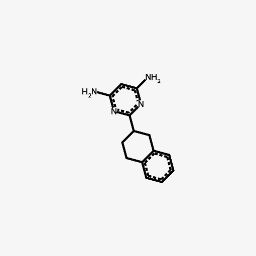 Nc1cc(N)nc(C2CCc3ccccc3C2)n1